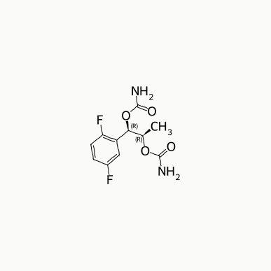 C[C@@H](OC(N)=O)[C@H](OC(N)=O)c1cc(F)ccc1F